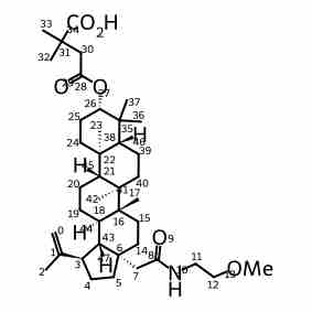 C=C(C)[C@@H]1CC[C@]2(CC(=O)NCCOC)CC[C@]3(C)[C@H](CC[C@@H]4[C@@]5(C)CC[C@H](OC(=O)CC(C)(C)C(=O)O)C(C)(C)[C@@H]5CC[C@]43C)[C@@H]12